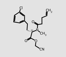 C=CCCC(=O)N(C)[C@@H](CCc1cccc(Cl)c1)C(=O)OCC#N